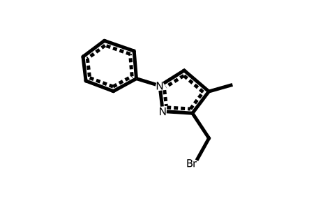 Cc1cn(-c2ccccc2)nc1CBr